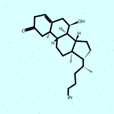 CC(C)CCC[C@@H](C)[C@H]1CC[C@H]2[C@@H]3[C@H](O)CC4=CCC(=O)C[C@]4(C)[C@H]3CC[C@]12C